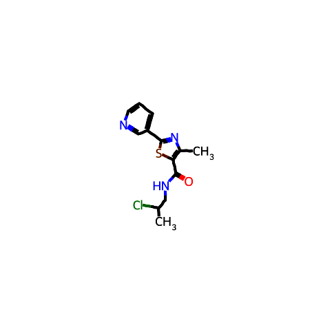 Cc1nc(-c2cccnc2)sc1C(=O)NCC(C)Cl